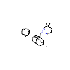 CC1(C)CCCN(CC23CC4C[C@@](C)(C2)C[C@](c2ccccc2)(C4)C3)C1